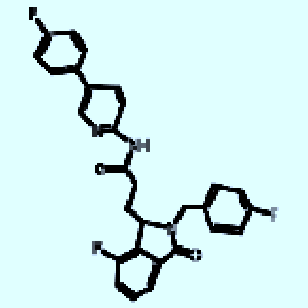 O=C(CCC1c2c(F)cccc2C(=O)N1Cc1ccc(F)cc1)Nc1ccc(-c2ccc(F)cc2)cn1